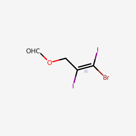 O=COC/C(I)=C(/Br)I